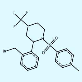 Cc1ccc(S(=O)(=O)N2CCC(C(F)(F)F)CC2c2ccccc2CBr)cc1